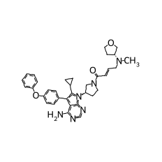 CN(CC=CC(=O)N1CC[C@@H](n2c(C3CC3)c(-c3ccc(Oc4ccccc4)cc3)c3c(N)ncnc32)C1)[C@@H]1CCOC1